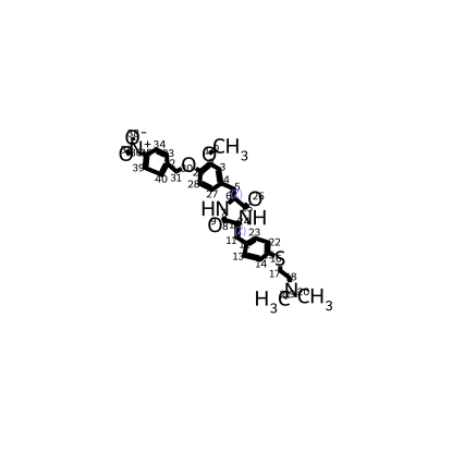 COc1cc(/C=c2\[nH]c(=O)/c(=C/c3ccc(SCCN(C)C)cc3)[nH]c2=O)ccc1OCc1ccc([N+](=O)[O-])cc1